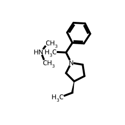 CC[C@@H]1CCN(C(C)c2ccccc2)C1.CNC